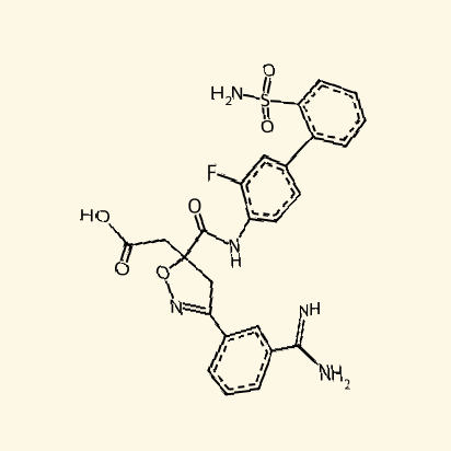 N=C(N)c1cccc(C2=NOC(CC(=O)O)(C(=O)Nc3ccc(-c4ccccc4S(N)(=O)=O)cc3F)C2)c1